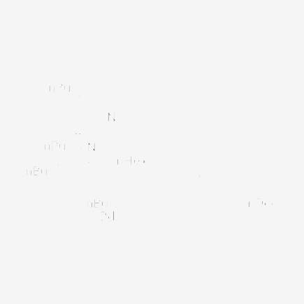 CCCCCCCCCCCCCCCCCC#CC(=Nc1cc(CCCC)cc(CCCC)c1)C(CCCCCC)=Nc1cc(CCCC)cc(CCCC)c1.[Pd]